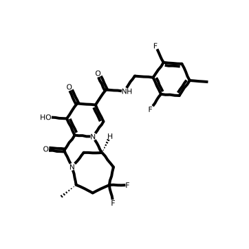 Cc1cc(F)c(CNC(=O)c2cn3c(c(O)c2=O)C(=O)N2C[C@@H]3CC(F)(F)C[C@@H]2C)c(F)c1